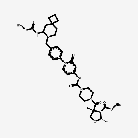 CC(C)(C)OC(=O)NC1CC2(CCC2)CCN1Cc1ccc(-n2ccc(NC(=O)N3CCN(C(=O)[C@@]4(C)CO[C@@H](C(C)(C)C)N4C(=O)OC(C)(C)C)CC3)nc2=O)cc1